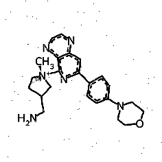 C[N@+]1(c2nc(-c3ccc(N4CCOCC4)cc3)cc3nccnc23)CCC(CN)C1